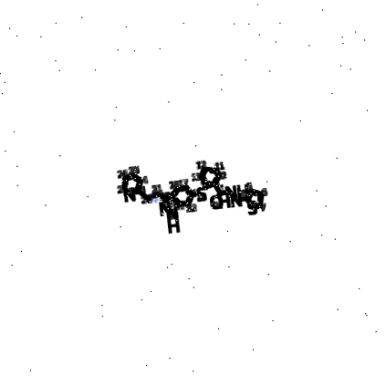 O=C(NNc1cccs1)c1ccccc1Sc1ccc2c(/C=C/c3ccccn3)n[nH]c2c1